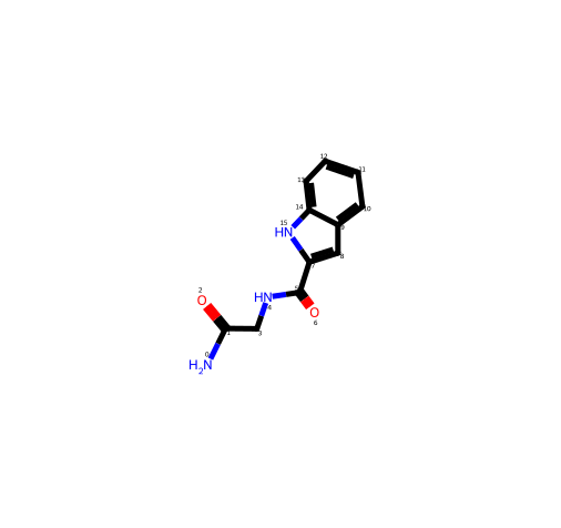 NC(=O)CNC(=O)c1cc2ccccc2[nH]1